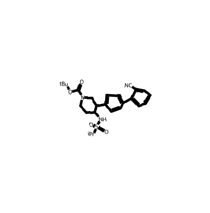 CC(C)S(=O)(=O)NC1CCN(C(=O)OC(C)(C)C)CC1c1ccc(-c2ccccc2C#N)cc1